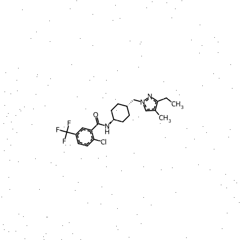 CCc1nn(C[C@H]2CC[C@H](NC(=O)c3cc(C(F)(F)F)ccc3Cl)CC2)cc1C